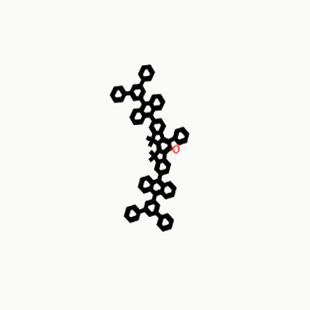 CC1(C)c2cc(-c3c4ccccc4c(-c4cc(-c5ccccc5)cc(-c5ccccc5)c4)c4ccccc34)ccc2-c2c1c1c(c3c2oc2ccccc23)-c2ccc(-c3c4ccccc4c(-c4cc(-c5ccccc5)cc(-c5ccccc5)c4)c4ccccc34)cc2C1(C)C